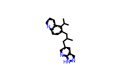 CC(Cc1cnc2[nH]ncc2c1)Cc1ccc2ncccc2c1C(C)C